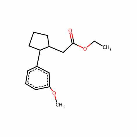 CCOC(=O)CC1CCCC1c1cccc(OC)c1